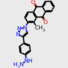 Cc1c(-n2cc(-c3ccc(NN)cc3)nn2)ccc2c1C(=O)c1ccccc1C2=O